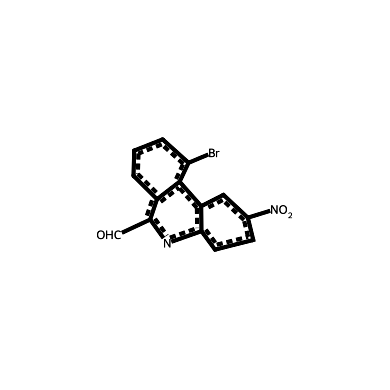 O=Cc1nc2ccc([N+](=O)[O-])cc2c2c(Br)cccc12